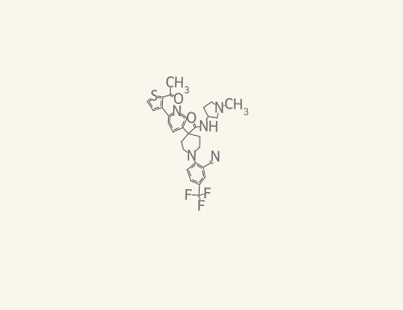 CC(=O)c1sccc1-c1ccc(C2(C(=O)N[C@H]3CCN(C)C3)CCN(c3ccc(C(F)(F)F)cc3C#N)CC2)cn1